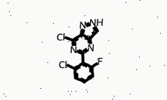 Fc1cccc(Cl)c1-c1nc(Cl)c2n[nH]cc2n1